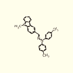 Cc1ccc(N(/N=C/c2ccc3c(c2)c2ccccc2n3C)c2ccc(C)cc2)cc1